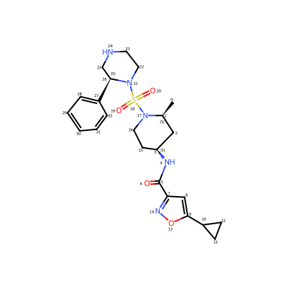 C[C@H]1C[C@@H](NC(=O)c2cc(C3CC3)on2)CCN1S(=O)(=O)N1CCNC[C@@H]1c1ccccc1